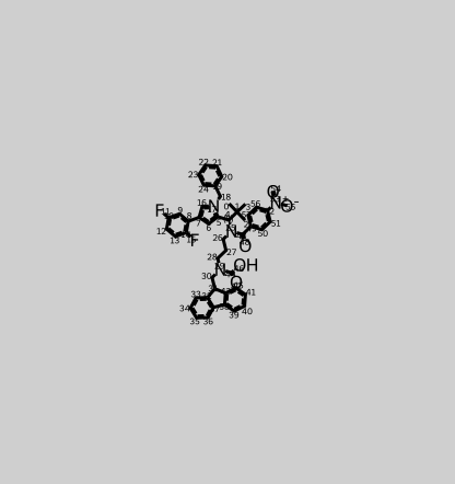 CC(C)(C)[C@H](c1cc(-c2cc(F)ccc2F)cn1Cc1ccccc1)N(CCCN(CC1c2ccccc2-c2ccccc21)C(=O)O)C(=O)c1ccc([N+](=O)[O-])cc1